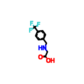 O=C(O)CNCc1ccc(C(F)(F)F)cc1